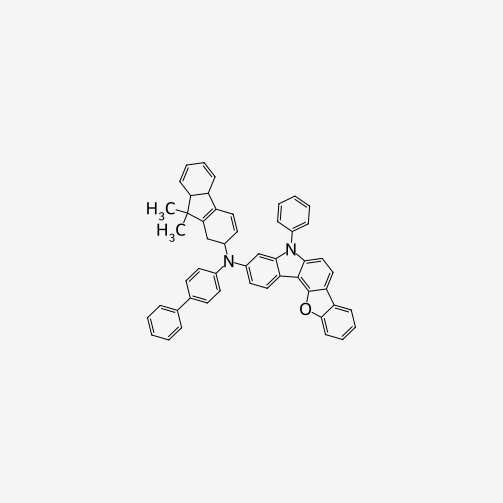 CC1(C)C2=C(C=CC(N(c3ccc(-c4ccccc4)cc3)c3ccc4c5c6oc7ccccc7c6ccc5n(-c5ccccc5)c4c3)C2)C2C=CC=CC21